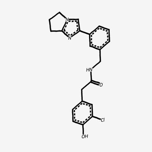 O=C(Cc1ccc(O)c(Cl)c1)NCc1cccc(-c2cn3c(n2)CCC3)c1